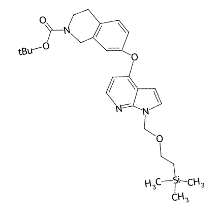 CC(C)(C)OC(=O)N1CCc2ccc(Oc3ccnc4c3ccn4COCC[Si](C)(C)C)cc2C1